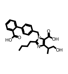 CCCCc1nc(C(C)CO)c(C(=O)O)n1Cc1ccc(-c2ccccc2C(=O)O)cc1